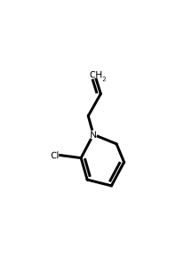 C=CCN1CC=CC=C1Cl